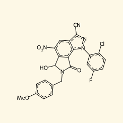 COc1ccc(CN2C(=O)c3c(c([N+](=O)[O-])cc4c(C#N)nn(-c5cc(F)ccc5Cl)c34)C2O)cc1